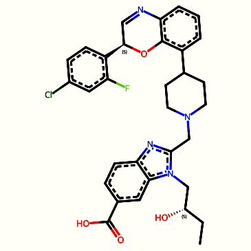 CC[C@H](O)Cn1c(CN2CCC(c3cccc4c3O[C@@H](c3ccc(Cl)cc3F)C=N4)CC2)nc2ccc(C(=O)O)cc21